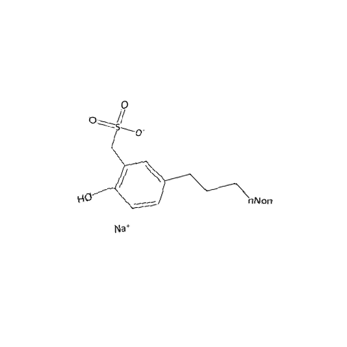 CCCCCCCCCCCCc1ccc(O)c(CS(=O)(=O)[O-])c1.[Na+]